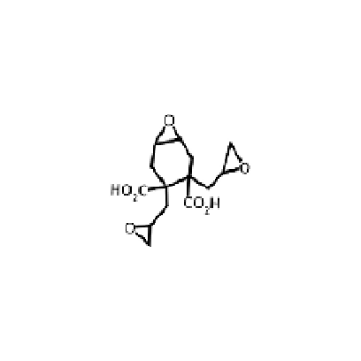 O=C(O)C1(CC2CO2)CC2OC2CC1(CC1CO1)C(=O)O